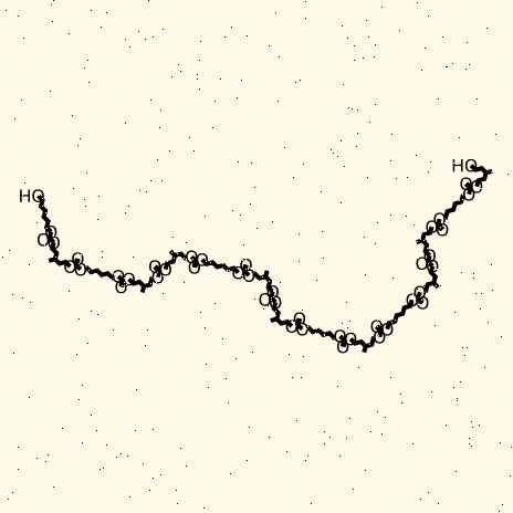 CC(CCO)CCOC(=O)OCCCCCCOC(=O)OCCC(C)CCOC(=O)OCCC(C)CCOC(=O)OCCCCCCOC(=O)OCCC(C)CCOC(=O)OCCCCCCOC(=O)OCCC(C)CCOC(=O)OCCC(C)CCOC(=O)OCCCCCCOC(=O)OCCC(C)CCOC(=O)OCCC(C)CCOC(=O)OCCCCCCOC(=O)OCCC(C)CCOC(=O)OCCCCCCO